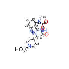 O=C(O)N1CCC(c2cc(=O)[nH]c3c4c(N5CCOC5=O)cccc4nn23)CC1